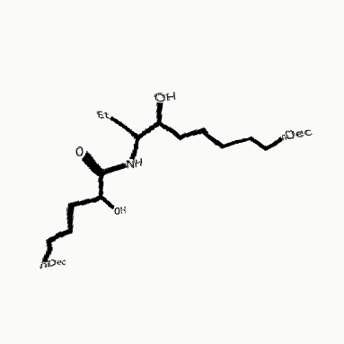 CCCCCCCCCCCCCCCC(O)C(CC)NC(=O)C(O)CCCCCCCCCCCCC